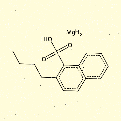 CCCCc1ccc2ccccc2c1S(=O)(=O)O.[MgH2]